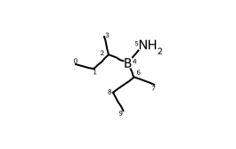 CCC(C)B(N)C(C)CC